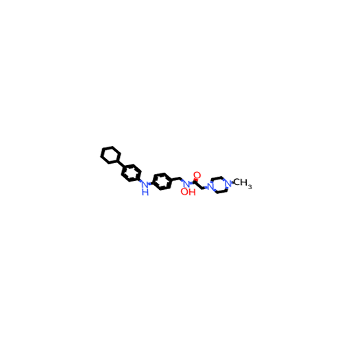 CN1CCN(CC(=O)N(O)Cc2ccc(Nc3ccc(C4CCCCC4)cc3)cc2)CC1